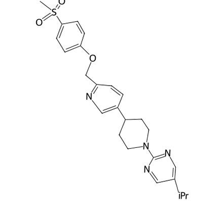 CC(C)c1cnc(N2CCC(c3ccc(COc4ccc(S(C)(=O)=O)cc4)nc3)CC2)nc1